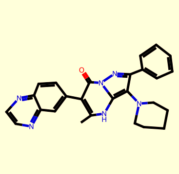 Cc1[nH]c2c(N3CCCCC3)c(-c3ccccc3)nn2c(=O)c1-c1ccc2nccnc2c1